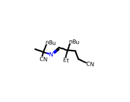 CCCCC(C=NC(C)(C#N)CCCC)(CC)CCC#N